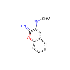 N=c1oc2ccccc2cc1NC=O